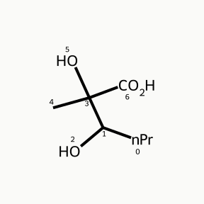 CCCC(O)C(C)(O)C(=O)O